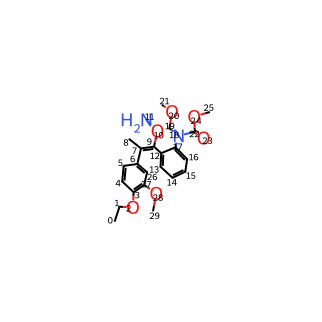 CCOc1ccc(/C(C)=C(/ON)c2ccccc2N(COC)C(=O)OC)cc1OC